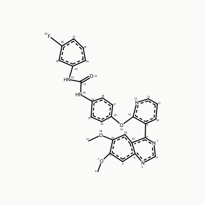 COc1cc2ncnc(-c3cccnc3Oc3ccc(NC(=O)Nc4cccc(F)c4)cc3)c2cc1OC